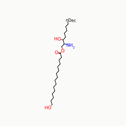 CCCCCCCCCCCCCCCC(O)C(N)COC(=O)CCCCCCCCCCCCCCCO